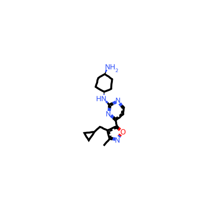 Cc1noc(-c2ccnc(N[C@H]3CC[C@H](N)CC3)n2)c1CC1CC1